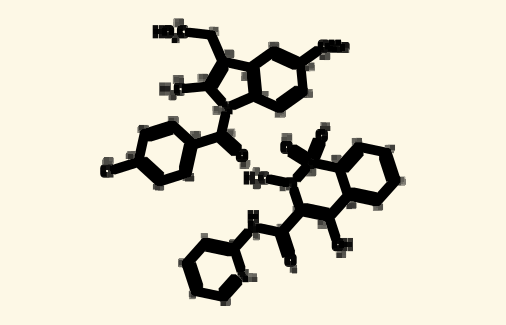 CN1C(C(=O)Nc2ccccn2)=C(O)c2ccccc2S1(=O)=O.COc1ccc2c(c1)c(CC(=O)O)c(C)n2C(=O)c1ccc(Cl)cc1